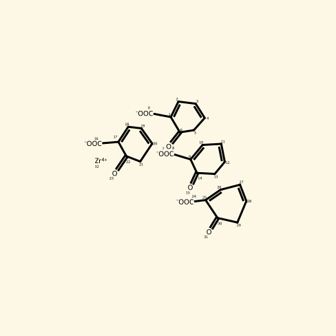 O=C([O-])C1=CC=CCC1=O.O=C([O-])C1=CC=CCC1=O.O=C([O-])C1=CC=CCC1=O.O=C([O-])C1=CC=CCC1=O.[Zr+4]